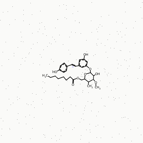 CCCCCCCC(=O)OCC1OC(Oc2cc(O)cc(/C=C/c3ccc(O)cc3)c2)C(O)C(OC)C1C